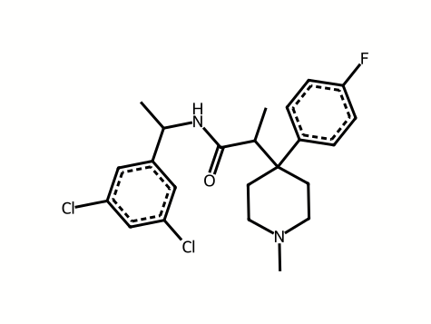 CC(NC(=O)C(C)C1(c2ccc(F)cc2)CCN(C)CC1)c1cc(Cl)cc(Cl)c1